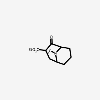 CCOC(=O)C1CC2CCCC(C1=O)N2C